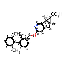 Cc1cccc(C)c1-c1cccc(COc2cc3c(cn2)[C@@H]2C(C(=O)O)[C@@H]2C3)c1C